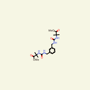 COC(=O)C(C)(C)NC(=O)NCc1cccc(CNC(=O)NC(C)(C)C(=O)OC)c1